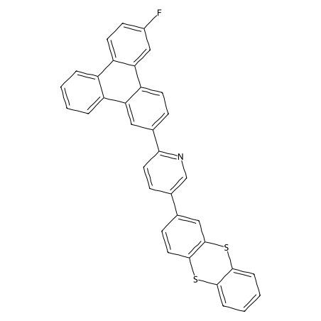 Fc1ccc2c3ccccc3c3cc(-c4ccc(-c5ccc6c(c5)Sc5ccccc5S6)cn4)ccc3c2c1